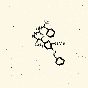 CCC(Nc1nnc(C)c(-c2ccc(OCc3ccccc3)c(OC)c2)n1)c1ccccc1